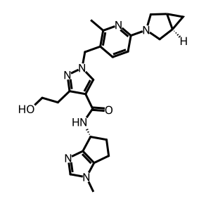 Cc1nc(N2CC3C[C@H]3C2)ccc1Cn1cc(C(=O)N[C@@H]2CCc3c2ncn3C)c(CCO)n1